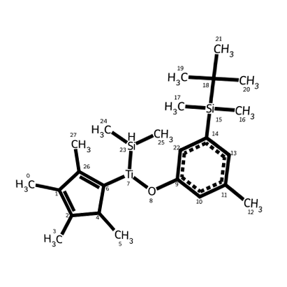 CC1=C(C)C(C)[C]([Ti]([O]c2cc(C)cc([Si](C)(C)C(C)(C)C)c2)[SiH](C)C)=C1C